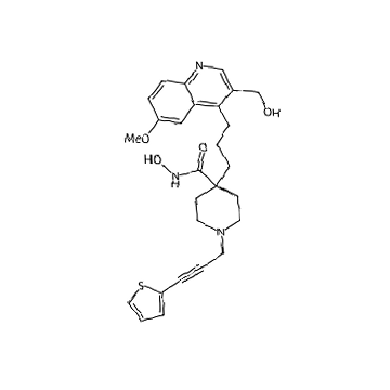 COc1ccc2ncc(CO)c(CCCC3(C(=O)NO)CCN(CC#Cc4cccs4)CC3)c2c1